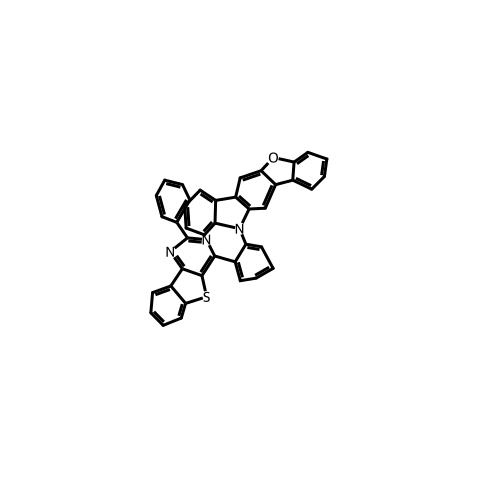 c1ccc(-c2nc(-c3ccccc3-n3c4ccccc4c4cc5oc6ccccc6c5cc43)c3sc4ccccc4c3n2)cc1